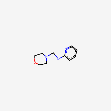 c1ccc([N]CN2CCOCC2)nc1